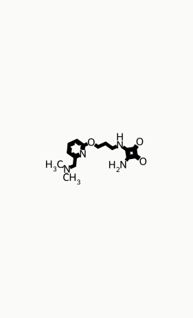 CN(C)Cc1cccc(OCCCNc2c(N)c(=O)c2=O)n1